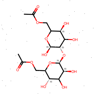 CC(=O)OCC1O[C@@H](O[C@H]2C(O)[C@H](O)C(COC(C)=O)O[C@@H]2O)[C@@H](O)C(O)[C@@H]1O